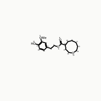 COc1cc(CCOC(=O)C2CCCCCOCC2)ccc1O